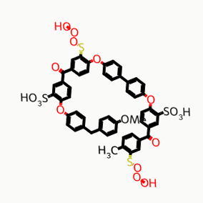 COc1ccc(Cc2ccc(Oc3ccc(C(=O)c4ccc(Oc5ccc(-c6ccc(Oc7ccc(C(=O)c8ccc(C)c(SOOO)c8)cc7S(=O)(=O)O)cc6)cc5)c(SOOO)c4)cc3S(=O)(=O)O)cc2)cc1